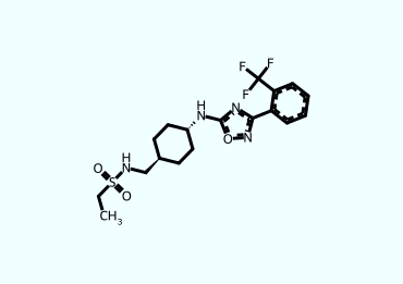 CCS(=O)(=O)NC[C@H]1CC[C@H](Nc2nc(-c3ccccc3C(F)(F)F)no2)CC1